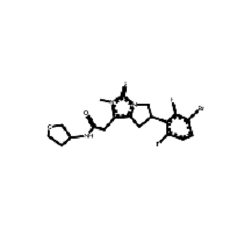 Cn1c(CC(=O)NC2CCOC2)c2n(c1=S)CC(c1c(F)ccc(Br)c1F)C2